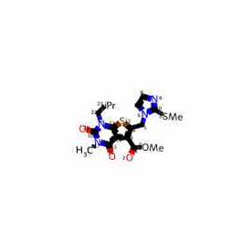 COC(=O)c1c(Cn2ccnc2SC)sc2c1c(=O)n(C)c(=O)n2CC(C)C